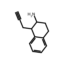 C#CCC1c2ccccc2CCC1N